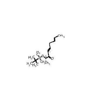 CCCC/C=C/C(=O)[C@H](C)O[Si](C)(C)C(C)(C)C